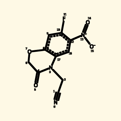 N#CCN1C(=O)COc2cc(F)c([N+](=O)[O-])cc21